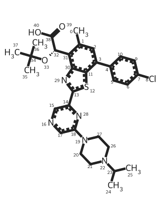 Cc1cc(-c2ccc(Cl)cc2)c2sc(-c3cncc(N4CCN(C(C)C)CC4)n3)nc2c1[C@H](OC(C)(C)C)C(=O)O